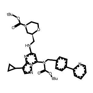 CC(C)(C)OC(=O)N1CCO[C@@H](CNc2cc(N(Cc3ccc(-c4ccccn4)cc3)C(=O)OC(C)(C)C)n3ncc(C4CC4)c3n2)C1